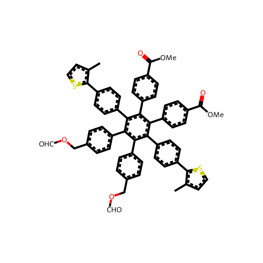 COC(=O)c1ccc(-c2c(-c3ccc(C(=O)OC)cc3)c(-c3ccc(-c4sccc4C)cc3)c(-c3ccc(COC=O)cc3)c(-c3ccc(COC=O)cc3)c2-c2ccc(-c3sccc3C)cc2)cc1